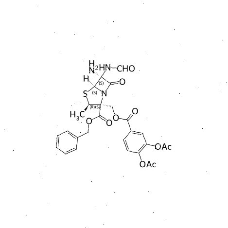 CC(=O)Oc1ccc(C(=O)OC[C@]2(C(=O)OCc3ccccc3)[C@@H](C)S[C@@H]3N2C(=O)[C@]3(N)NC=O)cc1OC(C)=O